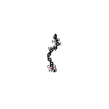 CC(=O)NC(=O)C(C)N1C(=O)c2ccc(N3CCC(CN4CCN(c5ccc(Nc6nccc(-c7cc(F)cc(NC(=O)c8cnn(C(C)(C)C)c8)c7C)n6)cc5)CC4)CC3)cc2C1=O